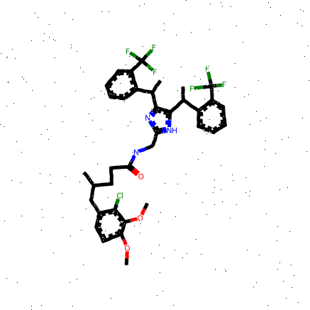 COc1ccc(CC(C)CCC(=O)[N]Cc2nc(C(C)c3ccccc3C(F)(F)F)c(C(C)c3ccccc3C(F)(F)F)[nH]2)c(Cl)c1OC